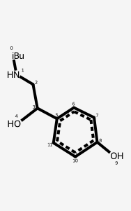 [CH2]C(CC)NCC(O)c1ccc(O)cc1